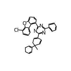 CC1(C2=CCCC=C2)C=CC(c2nc(-c3ccccc3)nc(-c3cccc4oc5c(Cl)cccc5c34)n2)=CC1